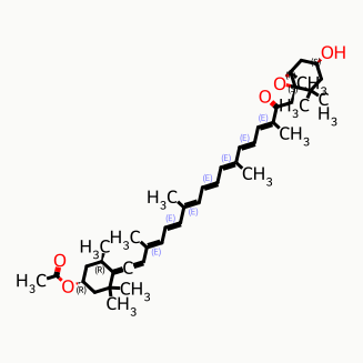 CC(=O)O[C@@H]1C[C@@H](C)C(=C=C/C(C)=C/C=C/C(C)=C/C=C/C=C(C)/C=C/C=C(\C)C(=O)C[C@@]23O[C@]2(C)C[C@@H](O)CC3(C)C)C(C)(C)C1